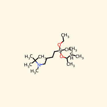 CCO[Si](C)(CCCCN(C)C(C)(C)C)OC(C)[SiH](C)C